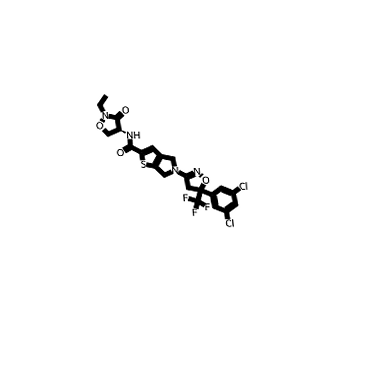 CCN1OC[C@@H](NC(=O)c2cc3c(s2)CN(C2=NOC(c4cc(Cl)cc(Cl)c4)(C(F)(F)F)C2)C3)C1=O